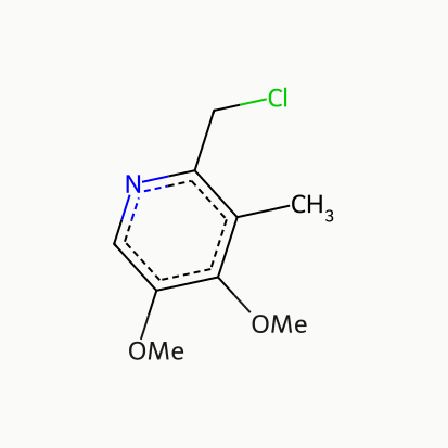 COc1cnc(CCl)c(C)c1OC